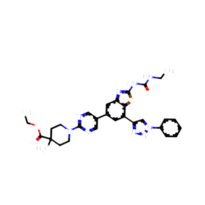 CCNC(=O)Nc1nc2cc(-c3cnc(N4CCC(C)(C(=O)OCC)CC4)nc3)cc(-c3cn(-c4ccccc4)nn3)c2s1